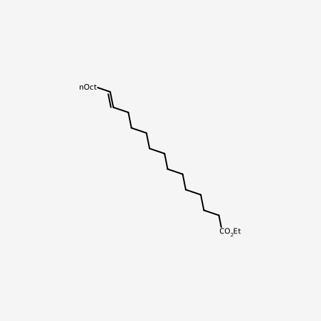 CCCCCCCCC=CCCCCCCCCCCCC(=O)OCC